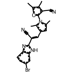 Cc1oc(-n2c(C)cc(C=C(C#N)c3nc4ccc(Br)cc4[nH]3)c2C)c(C#N)c1C